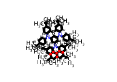 CC(C)(C)c1ccc(-c2ccc(C(C)(C)C)cc2N(c2cc3c4c(c2)N(c2ccc(C(C)(C)C)cc2)c2ccc(C(C)(C)C)cc2B4c2cc(C(C)(C)C)ccc2N3c2ccc(C(C)(C)C)cc2)c2cc(C(C)(C)C)ccc2-c2ccc(C(C)(C)C)cc2)cc1